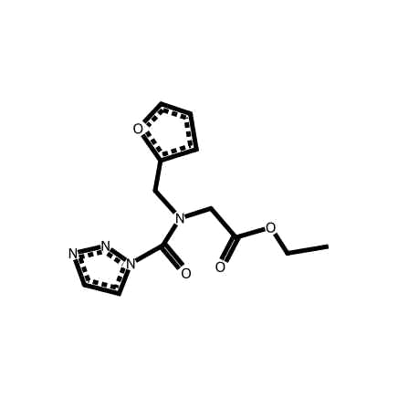 CCOC(=O)CN(Cc1ccco1)C(=O)n1ccnn1